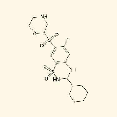 Cc1cc2c(cc1S(=O)(=O)C1CNCCO1)S(=O)(=O)NC(C1CCCCC1)N2